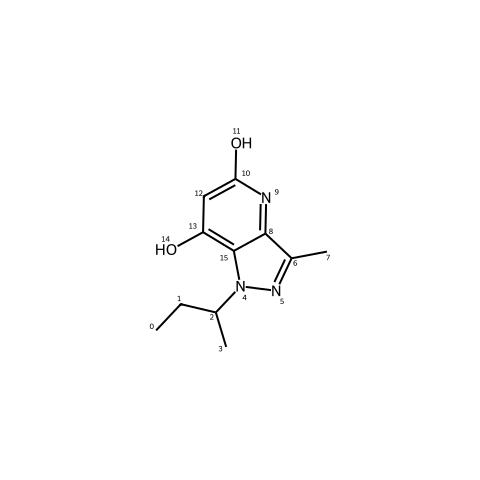 CCC(C)n1nc(C)c2nc(O)cc(O)c21